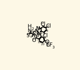 CC(Cn1nc2c(Cl)cc(Cl)c(Cl)c2n1)(NC(=O)c1ccc(OC(F)(F)F)cc1)C(N)=S